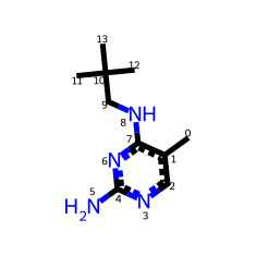 Cc1cnc(N)nc1NCC(C)(C)C